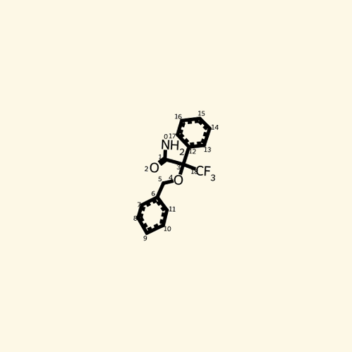 NC(=O)C(OCc1ccccc1)(c1ccccc1)C(F)(F)F